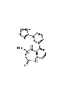 C[C@@H]1CC(=O)Nc2cccc(-c3cccc(-c4nnn[nH]4)c3)c2N1